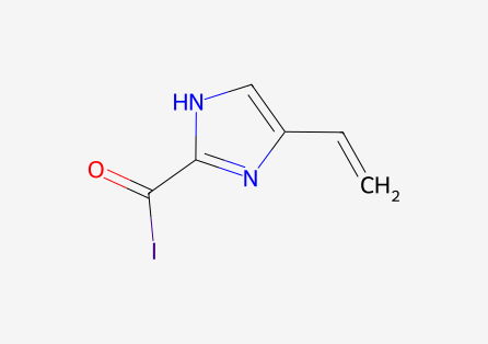 C=Cc1c[nH]c(C(=O)I)n1